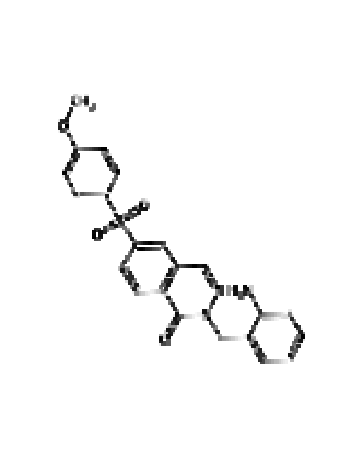 COc1ccc(S(=O)(=O)c2ccc3c(=O)n(Cc4ccccc4N)ncc3c2)cc1